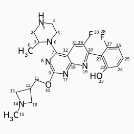 CC1CNCCN1c1nc(OCC2CN(C)C2)nc2nc(-c3c(O)cccc3F)c(F)cc12